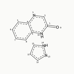 O=c1cnc2ccccc2[nH]1.c1cn[nH]c1